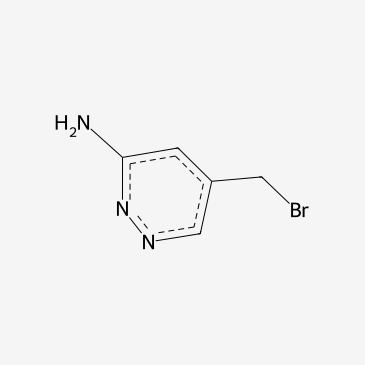 Nc1cc(CBr)cnn1